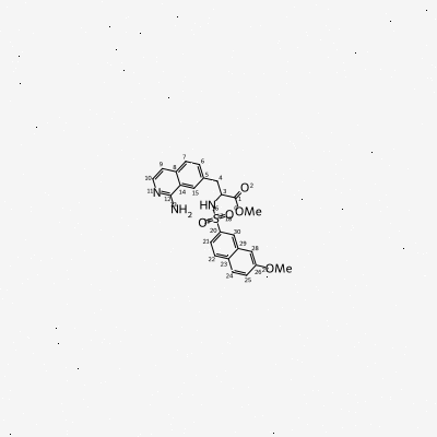 COC(=O)C(Cc1ccc2ccnc(N)c2c1)NS(=O)(=O)c1ccc2ccc(OC)cc2c1